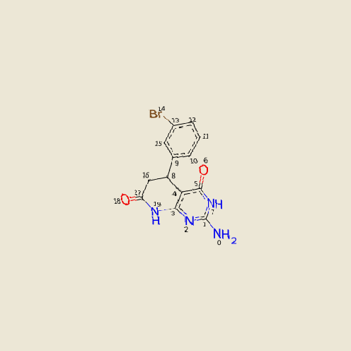 Nc1nc2c(c(=O)[nH]1)C(c1cccc(Br)c1)CC(=O)N2